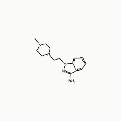 CN1CCN(CCn2nc(N)c3ccccc32)CC1